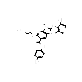 COCCOc1nc2c(cc1C(=O)Nc1ccc(Br)cc1)nc(Nc1c(Cl)cncc1Cl)n2C